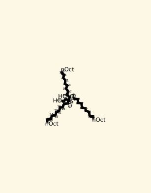 CCCCCCCCC=CCCCCCCCC(=O)SC(C(=O)CCCCCCCC=CCCCCCCCC)(C(=O)CCCCCCCC=CCCCCCCCC)C(O)CO